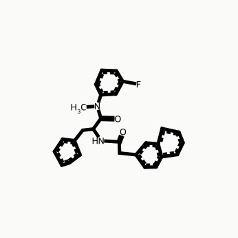 CN(C(=O)C(Cc1ccccc1)NC(=O)Cc1ccc2ccccc2c1)c1cccc(F)c1